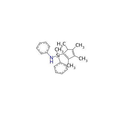 CC1=C(C)C(C)C([Si](C)(Nc2ccccc2)c2ccccc2)=C1C